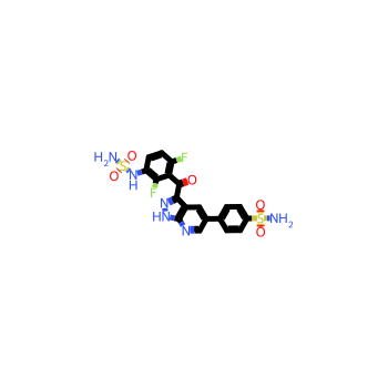 NS(=O)(=O)Nc1ccc(F)c(C(=O)c2n[nH]c3ncc(-c4ccc(S(N)(=O)=O)cc4)cc23)c1F